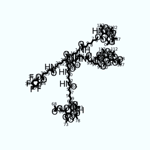 CCC1OC(OCCCCCC(=O)NCCCNC(=O)C(CCCCNC(=O)CCCC(=O)Oc2c(F)c(F)c(F)c(F)c2F)N(CC(=O)NCCCNC(=O)CCCCCOC2OC(COC(C)=O)C(OC(C)=O)C(OC(C)=O)C2NC(C)=O)C(C=O)NCCCNC(=O)CCCCCOC2OC(COC(C)=O)C(OC(C)=O)C(OC(C)=O)C2NC(C)=O)C(NC(C)=O)C(OC(C)=O)C1OC(C)=O